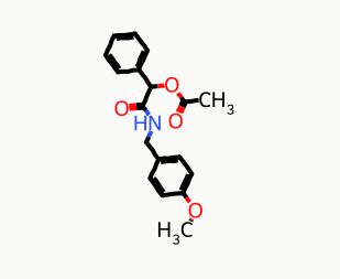 COc1ccc(CNC(=O)C(OC(C)=O)c2ccccc2)cc1